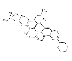 Cc1c2c(c(CC(C)C)c3ccc(CC(C)(C)C)cc13)Oc1cc3ccc(C4CCCCC4)cc3c3cc[n+](C)c-2c13